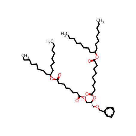 CCCCCCCCC(CCCCCCCC)OC(=O)CCCCCCCC(=O)O[C@H](COCc1ccccc1)COC(=O)CCCCCCC(=O)OC(CCCCCCCC)CCCCCCCC